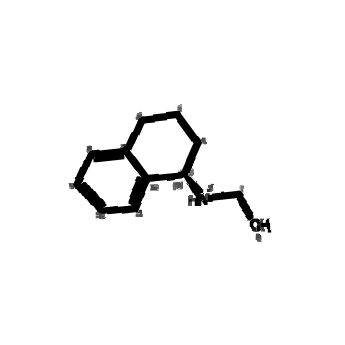 OCN[C@@H]1CCCc2ccccc21